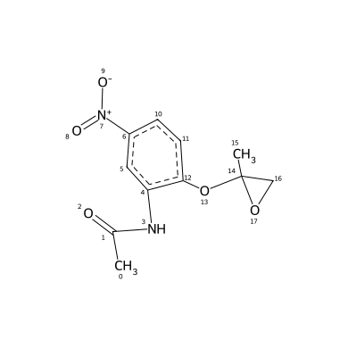 CC(=O)Nc1cc([N+](=O)[O-])ccc1OC1(C)CO1